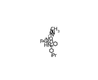 CC(C)c1ccc([C@@H](NC(=O)[C@H]2C[C@@H](F)CN2C(=O)Cc2cn(C)nn2)c2ccccc2)cc1